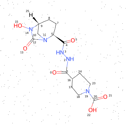 O=C(NNC(=O)[C@@H]1CC[C@@H]2CN1C(=O)N2O)C1CCN(C(=O)O)CC1